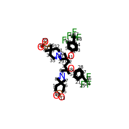 CC(CCC(C)(CN1CC2(CCS(=O)(=O)CC2)C1)Oc1ccc(C(F)(F)F)cc1)(CN1CCC2(CC1)CS(=O)(=O)C2)Oc1ccc(C(F)(F)F)c(F)c1